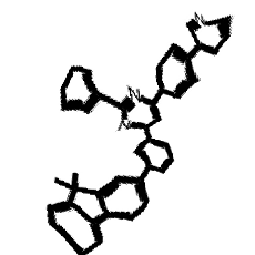 CC1(C)c2ccccc2-c2ccc(-c3cccc(-c4cc(-c5ccc(-c6cccnc6)cc5)nc(-c5ccccc5)n4)c3)cc21